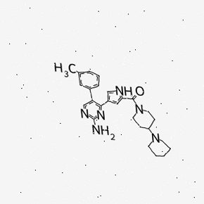 Cc1cccc(-c2cnc(N)nc2-c2c[nH]c(C(=O)N3CCC(N4CCCCC4)CC3)c2)c1